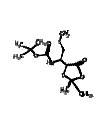 CSC[C@H](NC(=O)OC(C)(C)C)C1OC(C)(C)OC1=O